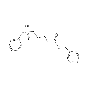 O=C(CCCCP(=O)(O)Cc1ccccc1)OCc1ccccc1